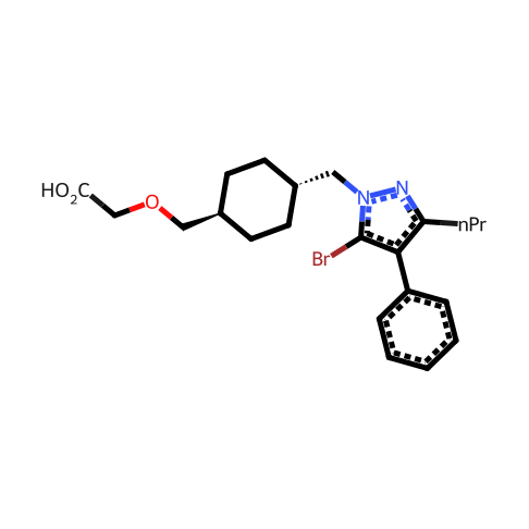 CCCc1nn(C[C@H]2CC[C@H](COCC(=O)O)CC2)c(Br)c1-c1ccccc1